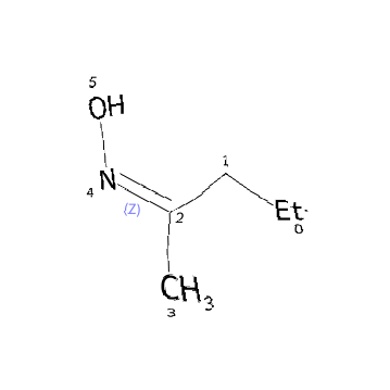 C[CH]C/C(C)=N\O